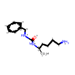 NCCCC[C@H](NC(=O)NCc1ccccc1)C(=O)O